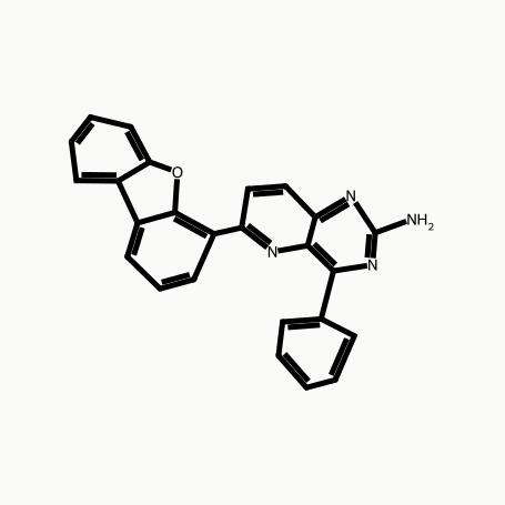 Nc1nc(-c2ccccc2)c2nc(-c3cccc4c3oc3ccccc34)ccc2n1